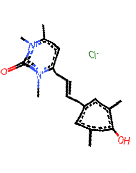 Cc1cc(C=Cc2cc(C)n(C)c(=O)[n+]2C)cc(C)c1O.[Cl-]